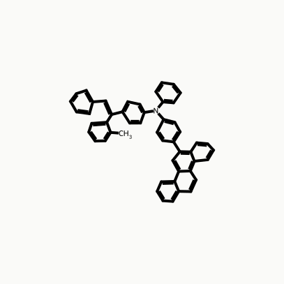 Cc1ccccc1/C(=C\c1ccccc1)c1ccc(N(c2ccccc2)c2ccc(-c3cc4c5ccccc5ccc4c4ccccc34)cc2)cc1